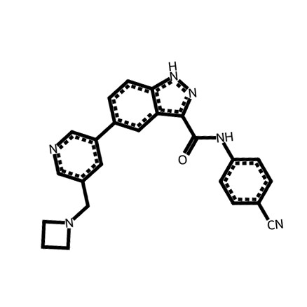 N#Cc1ccc(NC(=O)c2n[nH]c3ccc(-c4cncc(CN5CCC5)c4)cc23)cc1